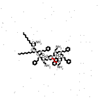 CCCCCCCCCCN(CC(N)=O)C(=O)CN(CCCCCCCCCC)C(=O)CN(CCc1ccccc1)C(=O)CN(CCc1ccccc1)C(=O)CN(CCN)C(=O)CN(CCc1ccccc1)C(=O)CN(CCc1ccccc1)C(=O)CN(CCN)C(=O)CN(CCc1ccccc1)C(=O)CN(CCc1ccccc1)C(=O)CNCCN